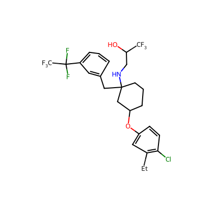 CCc1cc(OC2CCCC(Cc3cccc(C(F)(F)C(F)(F)F)c3)(NCC(O)C(F)(F)F)C2)ccc1Cl